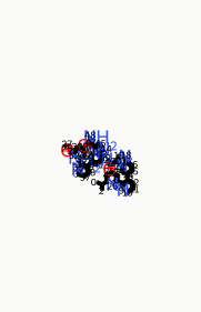 CC(C)c1cccc(-c2ncccc2-c2ccc3ncc(C(N)=O)n3c2)n1.COc1cccc(-c2ncccc2-c2ccc3ncc(C(N)=O)n3c2)n1